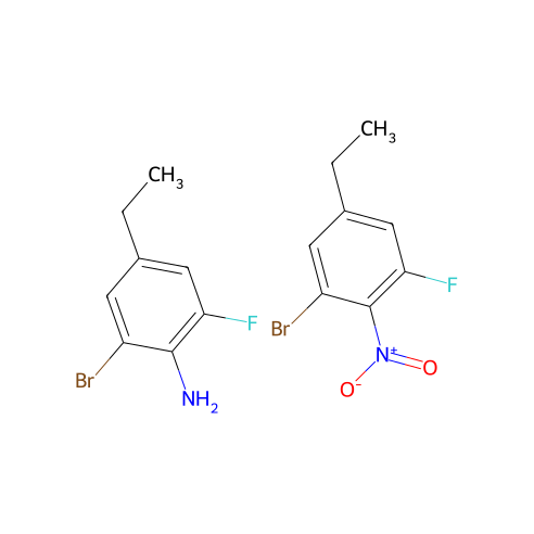 CCc1cc(F)c(N)c(Br)c1.CCc1cc(F)c([N+](=O)[O-])c(Br)c1